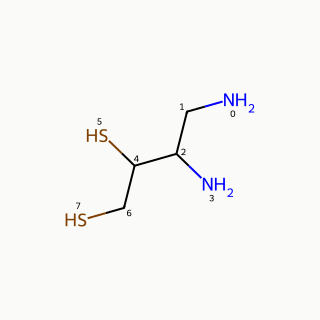 NCC(N)C(S)CS